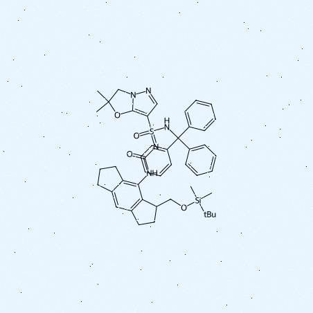 CC1(C)Cn2ncc(S(=O)(=NC(=O)Nc3c4c(cc5c3C(CO[Si](C)(C)C(C)(C)C)CC5)CCC4)NC(c3ccccc3)(c3ccccc3)c3ccccc3)c2O1